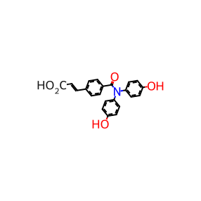 O=C(O)C=Cc1ccc(C(=O)N(c2ccc(O)cc2)c2ccc(O)cc2)cc1